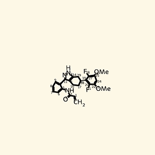 C=CC(=O)Nc1ccccc1-c1n[nH]c2c1CC[C@H](c1c(F)c(OC)cc(OC)c1F)C2